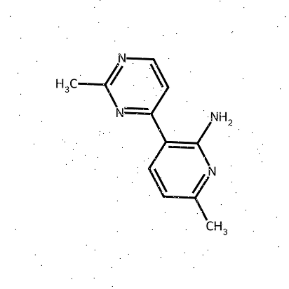 Cc1ccc(-c2ccnc(C)n2)c(N)n1